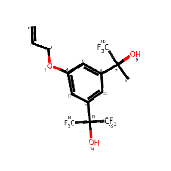 C=CCOc1cc(C(C)(O)C(F)(F)F)cc(C(O)(C(F)(F)F)C(F)(F)F)c1